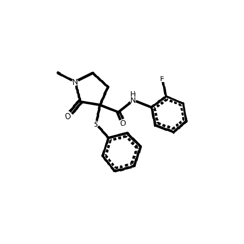 CN1CCC(Sc2ccccc2)(C(=O)Nc2ccccc2F)C1=O